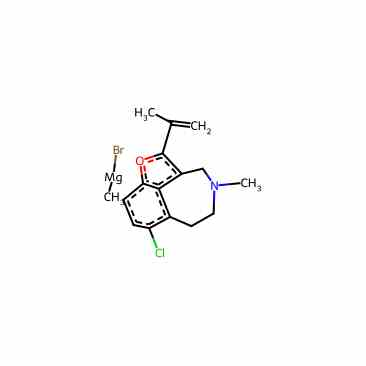 C=C(C)c1oc2ccc(Cl)c3c2c1CN(C)CC3.[CH3][Mg][Br]